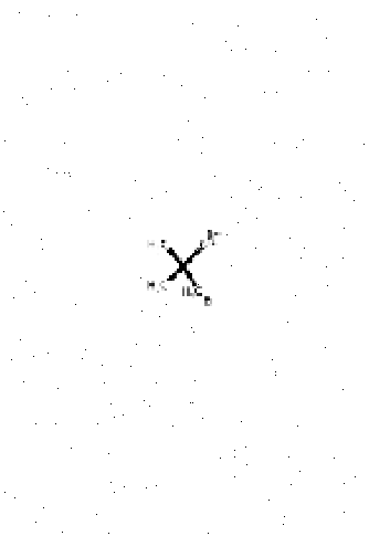 [B+2]C(C)(C)C.[Br-].[Br-]